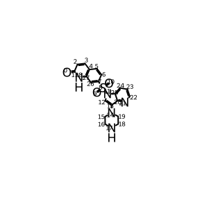 O=c1ccc2ccc(S(=O)(=O)n3cc(N4CCNCC4)c4ncccc43)cc2[nH]1